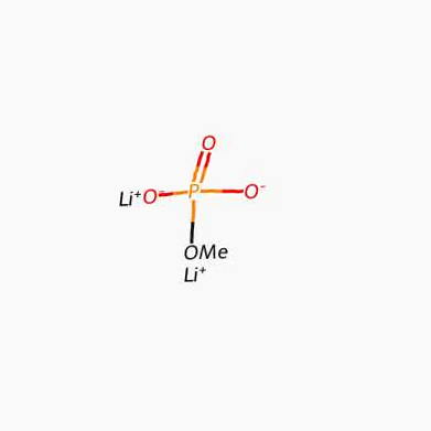 COP(=O)([O-])[O-].[Li+].[Li+]